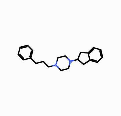 c1ccc(CCCN2CCN(C3Cc4ccccc4C3)CC2)cc1